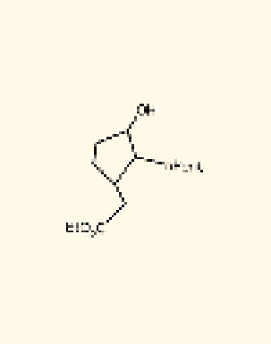 CCCCCC1C(O)CCC1CC(=O)OCC